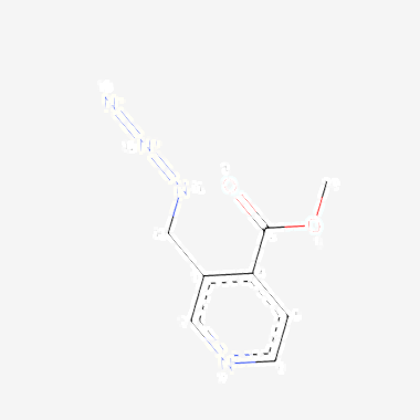 COC(=O)c1ccncc1CN=[N+]=[N-]